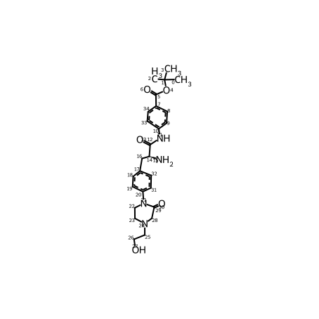 CC(C)(C)OC(=O)c1ccc(NC(=O)[C@@H](N)Cc2ccc(N3CCN(CCO)CC3=O)cc2)cc1